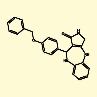 O=C1NCC2=C1C(c1ccc(OCc3ccccc3)cc1)Nc1ccccc1N2